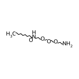 CCCCCCCCC(=O)NCCCOCCOCCOCCCN